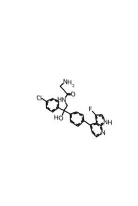 NCC(=O)NCC(O)(c1ccc(Cl)cc1)c1ccc(-c2ccnc3[nH]cc(F)c23)cc1